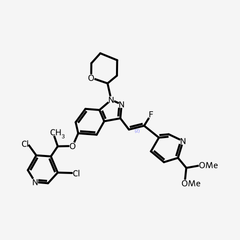 COC(OC)c1ccc(/C(F)=C/c2nn(C3CCCCO3)c3ccc(OC(C)c4c(Cl)cncc4Cl)cc23)cn1